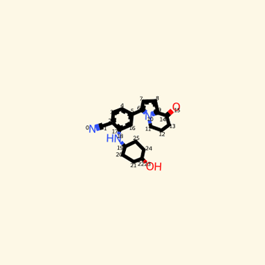 N#Cc1ccc(-c2ccc3n2CCCC3=O)cc1NC1CCC(O)CC1